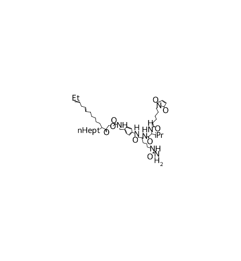 CCC=CCC=CCCCCCC(CCCCCCC)C(=O)COC(=O)NCc1ccc(NC(=O)C(CCCNC(N)=O)NC(=O)C(NC(=O)CCCCCN2C(=O)C=CC2=O)C(C)C)cc1